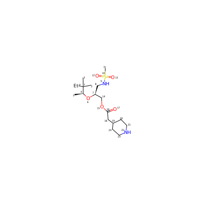 CCC(C)(C)[C@H](C)O[C@@H](CNS(C)(=O)=O)COC(=O)CC1CCNCC1